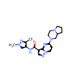 Cn1cc(NC(=O)c2cnn3ccc(N4CCN5CCCC5C4)nc23)c(C(F)(F)F)n1